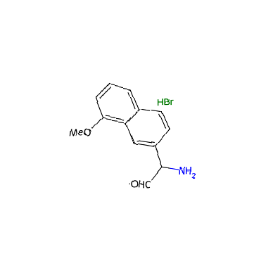 Br.COc1cccc2ccc(C(N)[C]=O)cc12